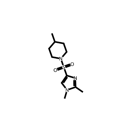 Cc1nc(S(=O)(=O)N2CCC(C)CC2)cn1C